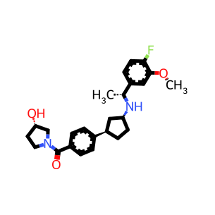 COc1cc([C@@H](C)N[C@H]2CC[C@@H](c3ccc(C(=O)N4CC[C@H](O)C4)cc3)C2)ccc1F